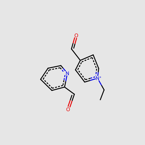 CC[n+]1ccc(C=O)cc1.O=Cc1ccccn1